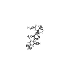 Cc1cc(N2CCO[C@@H]3CCN(C)C[C@@H]32)nnc1-c1ccc(C(F)(F)F)cc1O